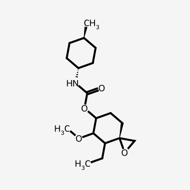 CCC1C(OC)C(OC(=O)N[C@H]2CC[C@H](C)CC2)CC[C@]12CO2